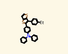 CCc1ccc(-c2c(-c3ccc(N(c4ccccc4)c4ccccc4)cc3)sc3ccsc23)cc1